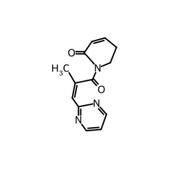 CC(=Cc1ncccn1)C(=O)N1CCC=CC1=O